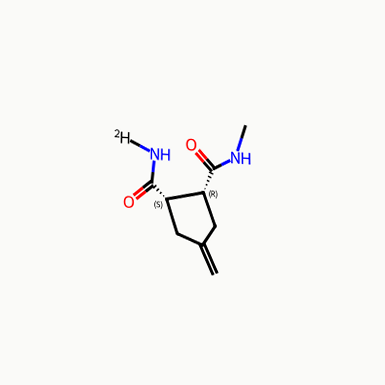 [2H]NC(=O)[C@H]1CC(=C)C[C@H]1C(=O)NC